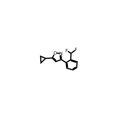 FC(F)c1ccccc1-c1cc(C2CC2)on1